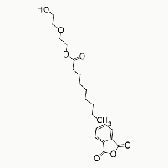 CCCCCCCCC(=O)OCCOCCO.O=C1OC(=O)c2ccccc21